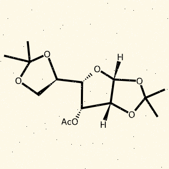 CC(=O)O[C@@H]1[C@H]([C@H]2COC(C)(C)O2)O[C@@H]2OC(C)(C)O[C@@H]21